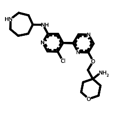 NC1(COc2cncc(-c3cc(NC4CCCNCC4)ncc3Cl)n2)CCOCC1